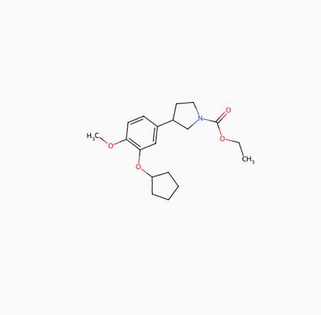 CCOC(=O)N1CCC(c2ccc(OC)c(OC3CCCC3)c2)C1